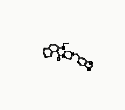 CCOc1ccc2ccccc2c1C(=O)N1CCN(Cc2ccc3c(c2)OCO3)CC1